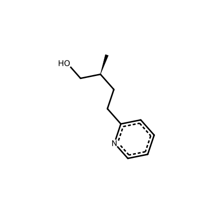 C[C@H](CO)CCc1ccccn1